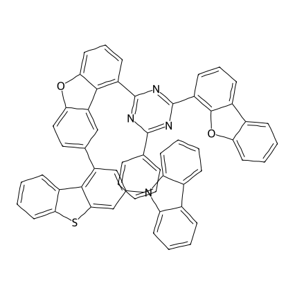 c1ccc(-c2nc(-c3cccc4c3oc3ccccc34)nc(-c3cccc4oc5ccc(-c6cc(-n7c8ccccc8c8ccccc87)cc7sc8ccccc8c67)cc5c34)n2)cc1